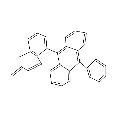 C=C/C=C\c1c(C)cccc1-c1c2ccccc2c(-c2ccccc2)c2ccccc12